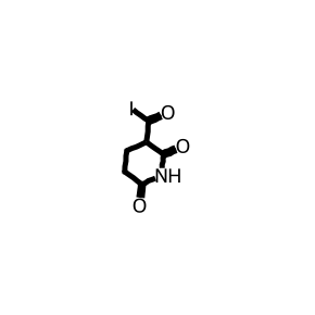 O=C1CCC(C(=O)I)C(=O)N1